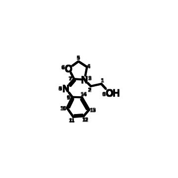 OCCN1CCOC1=Nc1ccccc1